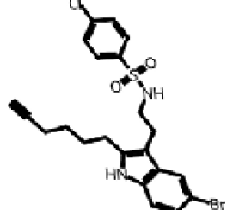 C#CCCCCc1[nH]c2ccc(Br)cc2c1CCNS(=O)(=O)c1ccc(Cl)cc1